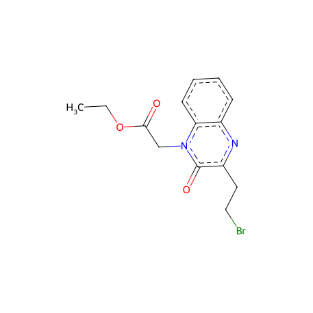 CCOC(=O)Cn1c(=O)c(CCBr)nc2ccccc21